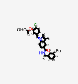 Cc1c(C)n(Cc2ccc(Cl)c(O[C@@H](C)C=O)c2)c2ccc(C(=O)N[C@@H](C)c3cccc(C(C)(C)C)c3)cc12